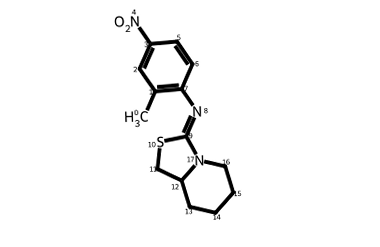 Cc1cc([N+](=O)[O-])ccc1N=C1SCC2CCCCN12